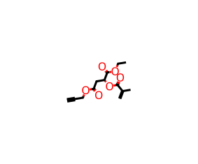 C#CCOC(=O)CC(OC(=O)C(=C)C)C(=O)OCC